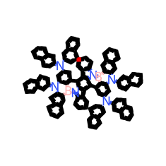 c1ccc2cc(N(c3cc4c5c(c3)N(c3ccc6ccccc6c3)c3cc6ccccc6cc3B5n3c5ccccc5c5c6c7c(c-4c53)c3ccccc3n7B3c4cc5ccccc5cc4N(c4ccc5ccccc5c4)c4cc(N(c5ccc7ccccc7c5)c5ccc7ccccc7c5)cc-6c43)c3ccc4ccccc4c3)ccc2c1